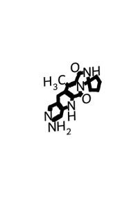 Cc1c2c(c(=O)n3c1C(=O)NC31CCCC1)Nc1cc(N)ncc1C2